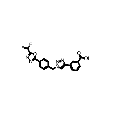 O=C(O)c1cccc(-c2cn(Cc3ccc(-c4nnc(C(F)F)o4)cc3)nn2)c1